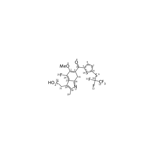 COC1=C(C(=O)c2ccc(SC(F)(F)C(F)(F)F)s2)CC2=NC(C)=C(CC(=O)O)C2=C1F